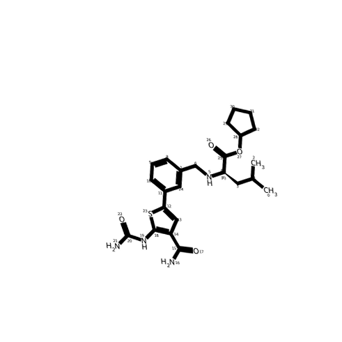 CC(C)C[C@@H](NCc1cccc(-c2cc(C(N)=O)c(NC(N)=O)s2)c1)C(=O)OC1CCCC1